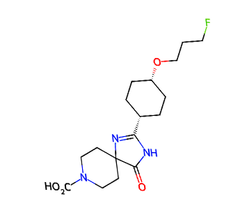 O=C(O)N1CCC2(CC1)N=C([C@H]1CC[C@@H](OCCCF)CC1)NC2=O